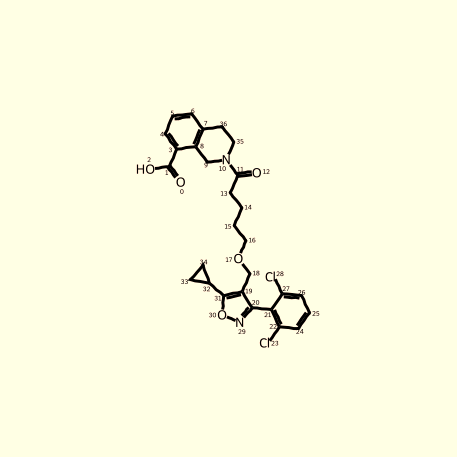 O=C(O)c1cccc2c1CN(C(=O)CCCCOCc1c(-c3c(Cl)cccc3Cl)noc1C1CC1)CC2